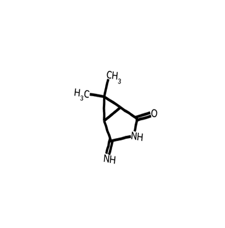 CC1(C)C2C(=N)NC(=O)C21